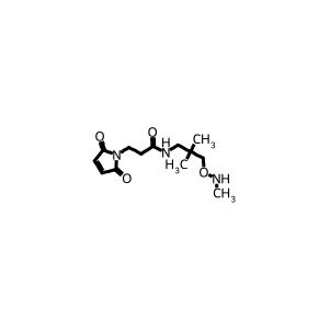 CNOCC(C)(C)CNC(=O)CCN1C(=O)C=CC1=O